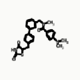 CN(Cc1cccc(-c2ccc(CC3SC(=O)NC3=O)cc2)c1)C(=O)c1ccc(N(C)C)cc1